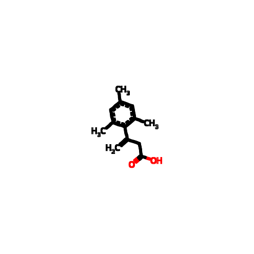 C=C(CC(=O)O)c1c(C)cc(C)cc1C